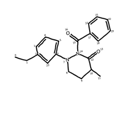 CCc1cccc(N2CCC(C)C(=O)N2C(=O)c2ccccc2)c1